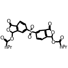 CCCC(=O)OC1OC(=O)c2cc(S(=O)(=O)c3ccc4c(c3)C(OC(=O)CCC)OC4=O)ccc21